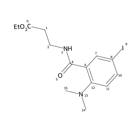 CCOC(=O)CCNC(=O)c1cc(I)ccc1N(C)C